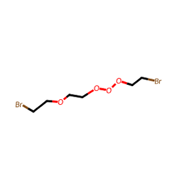 BrCCOCCOOOCCBr